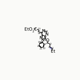 CC/C=C/CCOc1c2ncnc(SCC(=O)OCC)c2nn1-c1ccccc1